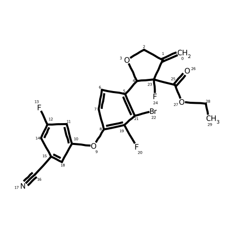 C=C1COC(c2ccc(Oc3cc(F)cc(C#N)c3)c(F)c2Br)C1(F)C(=O)OCC